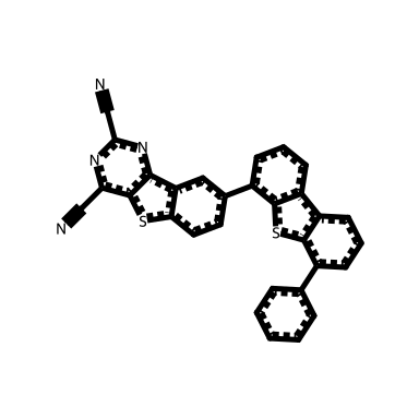 N#Cc1nc(C#N)c2sc3ccc(-c4cccc5c4sc4c(-c6ccccc6)cccc45)cc3c2n1